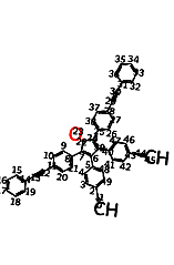 C#Cc1ccc(C2=C(c3ccc(C#Cc4ccccc4)cc3)C(=O)C(c3ccc(C#Cc4ccccc4)cc3)=C2c2ccc(C#C)cc2)cc1